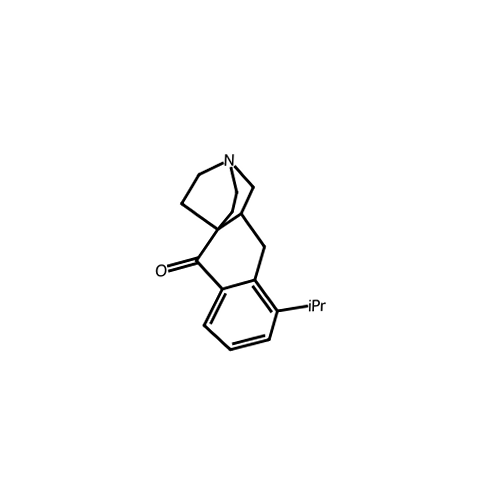 CC(C)c1cccc2c1CC1CN3CCC1(CC3)C2=O